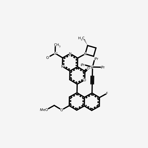 COCOc1cc(-c2cc3nc([S+](C)[O-])nc(N4CC[C@H]4C)c3c(=O)o2)c2c(C#C[Si](C(C)C)(C(C)C)C(C)C)c(F)ccc2c1